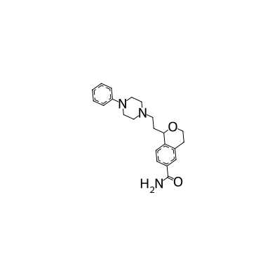 NC(=O)c1ccc2c(c1)CCOC2CCN1CCN(c2ccccc2)CC1